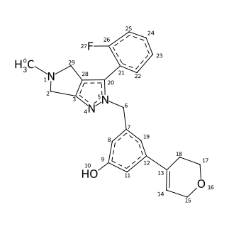 CN1Cc2nn(Cc3cc(O)cc(C4=CCOCC4)c3)c(-c3ccccc3F)c2C1